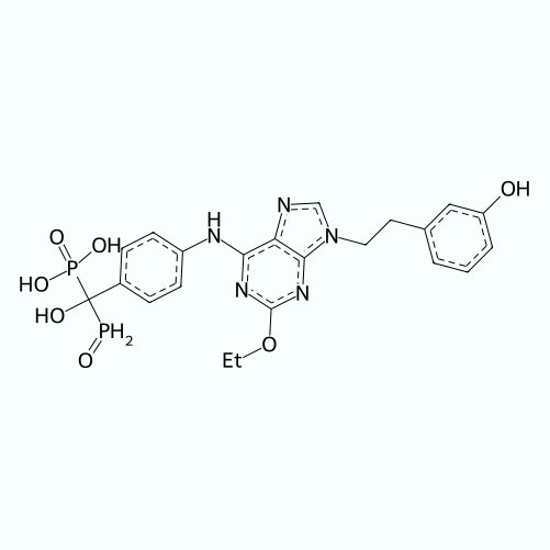 CCOc1nc(Nc2ccc(C(O)([PH2]=O)P(=O)(O)O)cc2)c2ncn(CCc3cccc(O)c3)c2n1